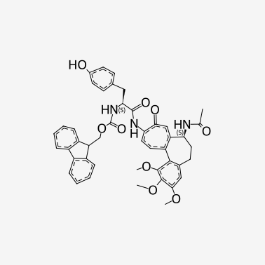 COc1cc2c(c(OC)c1OC)-c1ccc(NC(=O)[C@H](Cc3ccc(O)cc3)NC(=O)OCC3c4ccccc4-c4ccccc43)c(=O)cc1[C@@H](NC(C)=O)CC2